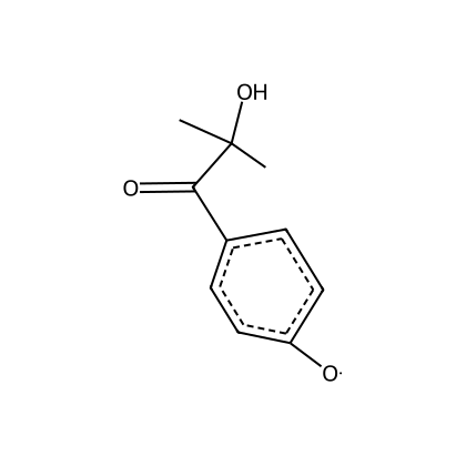 CC(C)(O)C(=O)c1ccc([O])cc1